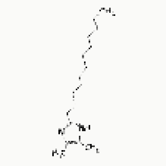 CCCCCCCCCCCCc1nc(C)c(C)[nH]1